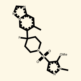 COc1c(S(=O)(=O)N2CCC(F)(c3cn4ncnc4cc3C)CC2)cnn1C